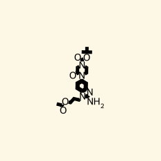 CC(=O)OCCCn1c(N)nc2cc(N3CCN(C(=O)OC(C)(C)C)CC3=O)ccc21